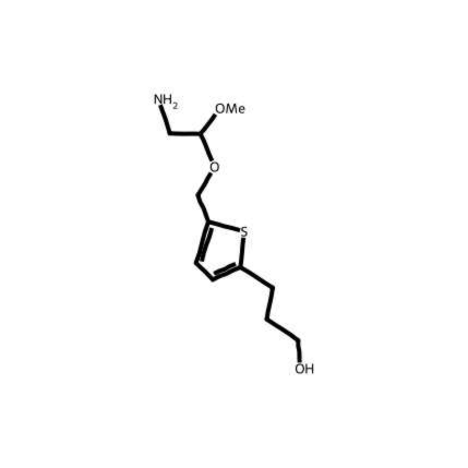 COC(CN)OCc1ccc(CCCO)s1